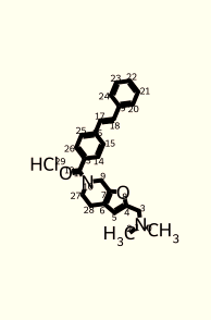 CN(C)Cc1cc2c(o1)CN(C(=O)c1ccc(C=Cc3ccccc3)cc1)CC2.Cl